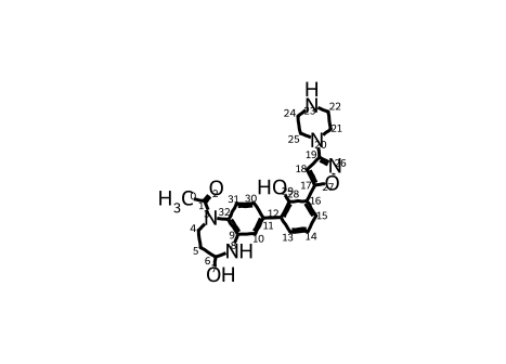 CC(=O)N1CCC(O)Nc2cc(-c3cccc(-c4cc(N5CCNCC5)no4)c3O)ccc21